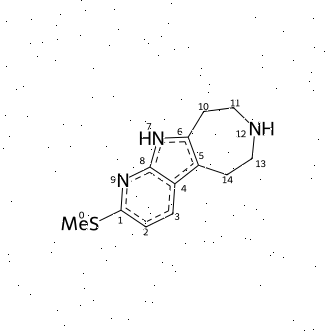 CSc1ccc2c3c([nH]c2n1)CCNCC3